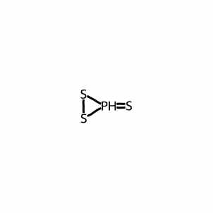 S=[PH]1SS1